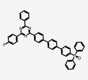 O=P(c1ccccc1)(c1ccccc1)c1ccc(-c2ccc(-c3ccc(-c4nc(-c5ccccc5)nc(-c5ccc(F)cc5)n4)cc3)cc2)cc1